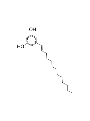 CCCCCCCCCCCC=Cc1cc(O)cc(O)c1